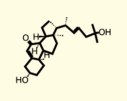 C[C@H](/C=C/CC(C)(C)O)[C@H]1CC[C@H]2[C@@H]3C(=O)C=C4C[C@@H](O)CC[C@]4(C)[C@H]3CC[C@]12C